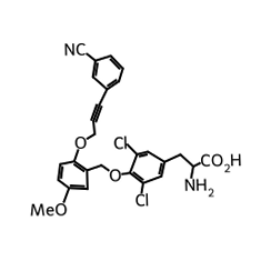 COc1ccc(OCC#Cc2cccc(C#N)c2)c(COc2c(Cl)cc(CC(N)C(=O)O)cc2Cl)c1